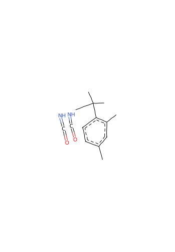 Cc1ccc(C(C)(C)C)c(C)c1.N=C=O.N=C=O